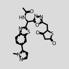 CC(=O)NC(c1nnc(CC2SC(=O)CC2=O)o1)c1nc2ccc(-c3ccnn3C)cc2s1